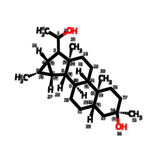 CC(O)C1[C@H]2[C@@H](C)[C@H]2[C@H]2[C@@H]3CC[C@H]4C[C@](C)(O)CC[C@]4(C)[C@H]3CC[C@]12C